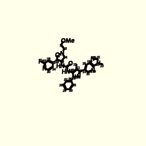 COCCN1C[C@@H](NC(=O)Nc2c(C)c(-c3cnc4c(c3)ncn4C)nn2-c2ccccc2)[C@H](c2ccnc(F)c2)O1